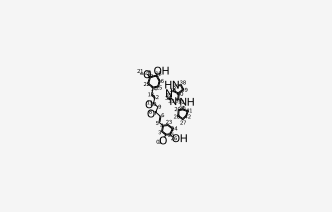 COc1cc(/C=C/C(=O)CC(=O)/C=C/c2ccc(O)c(OC)c2)ccc1O.c1ccc(Nc2ncnc3[nH]ccc23)cc1